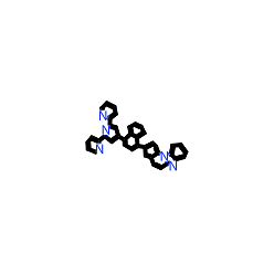 c1ccc(-c2cc(-c3ccc(-c4ccc5c(ccc6nc7ccccc7n65)c4)c4ccccc34)cc(-c3ccccn3)n2)nc1